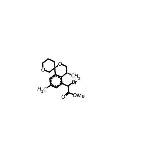 COC(=O)C(Br)c1cc(C)cc2c1[C@H](C)CO[C@]21CCCOC1